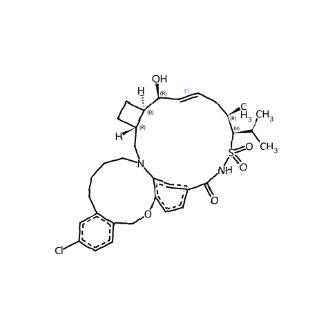 CC(C)[C@@H]1[C@H](C)C/C=C/[C@H](O)[C@@H]2CC[C@H]2CN2CCCCc3cc(Cl)ccc3COc3ccc(cc32)C(=O)NS1(=O)=O